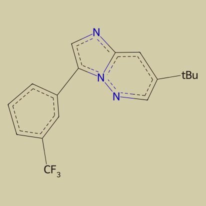 CC(C)(C)c1cnn2c(-c3cccc(C(F)(F)F)c3)cnc2c1